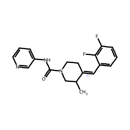 CC1CN(C(=O)Nc2cccnc2)CC/C1=C\c1cccc(F)c1F